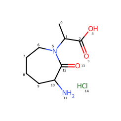 CC(C(=O)O)N1CCCCC(N)C1=O.Cl